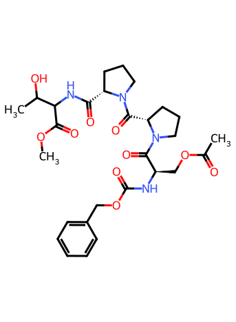 COC(=O)C(NC(=O)[C@@H]1CCCN1C(=O)[C@@H]1CCCN1C(=O)[C@@H](COC(C)=O)NC(=O)OCc1ccccc1)C(C)O